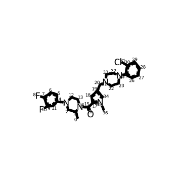 CC1CN(c2ccc(F)c(F)c2)CCN1C(=O)c1cc(CN2CCN(c3ccccc3Cl)CC2)cn1C